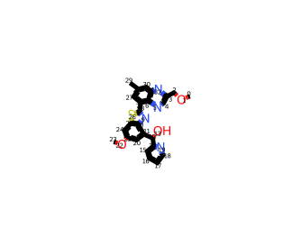 COCc1cnc2c(-c3nc4c(C(O)c5ccccn5)cc(OC)cc4s3)cc(C)cc2n1